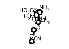 Cc1cc(Oc2cccc(COc3ccccc3C#N)c2)ccc1C1(N)C(=O)C(N)c2c(C(=O)O)sc3c(N)ccc1c23